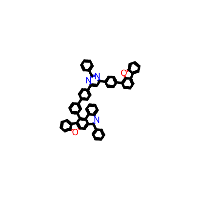 c1ccc(-c2nc(-c3ccc(-c4cccc(-c5c6c(cc7c(-c8ccccc8)nc8ccccc8c57)oc5ccccc56)c4)cc3)cc(-c3ccc(-c4cccc5c4oc4ccccc45)cc3)n2)cc1